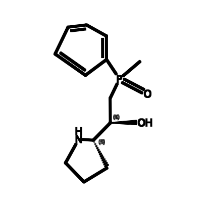 CP(=O)(C[C@@H](O)[C@@H]1CCCN1)c1ccccc1